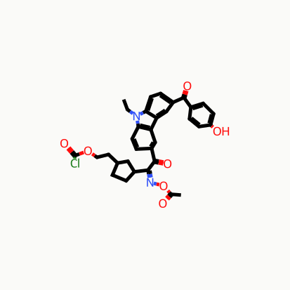 CCn1c2ccc(C(=O)/C(=N\OC(C)=O)C3CCC(CCOC(=O)Cl)C3)cc2c2cc(C(=O)c3ccc(O)cc3)ccc21